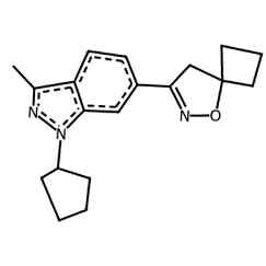 Cc1nn(C2CCCC2)c2cc(C3=NOC4(CCC4)C3)ccc12